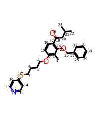 Cc1c(OCCCCSc2ccncc2)ccc(C(=O)CC(C)C)c1OCc1ccccc1